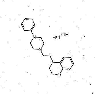 Cl.Cl.c1ccc(N2CCN(CCC3CCOc4ccccc43)CC2)cc1